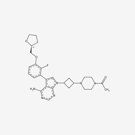 CC(=O)N1CCN(C2CC(n3cc(-c4cccc(OC[C@@H]5CCCO5)c4F)c4c(N)ncnc43)C2)CC1